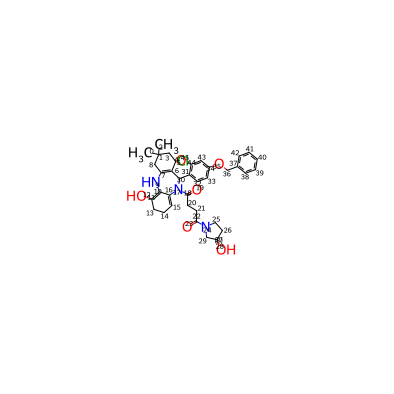 CC1(C)CC(=O)C2=C(C1)NC1=C(O)CCC=C1N(C(=O)CCC(=O)N1CC[C@@H](O)C1)C2c1ccc(OCc2ccccc2)cc1Cl